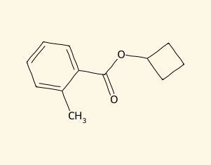 Cc1ccccc1C(=O)OC1CCC1